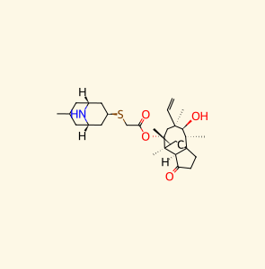 C=C[C@]1(C)C[C@@H](OC(=O)CS[C@@H]2C[C@H]3CC(C)C[C@@H](C2)N3)[C@@]2(C)[C@H](C)CC[C@]3(CCC(=O)[C@H]32)[C@@H](C)[C@@H]1O